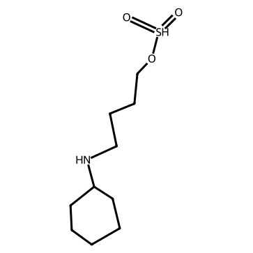 O=[SH](=O)OCCCCNC1CCCCC1